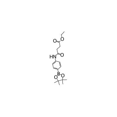 CCOC(=O)CCC(=O)Nc1ccc(B2OC(C)(C)C(C)(C)O2)cc1